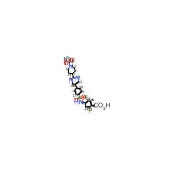 CC(C)(C)OC(=O)N1CCC(c2ncc(-c3ccc(S(=O)(=O)Nc4cc(F)c(C(=O)O)cc4F)cc3)cn2)CC1